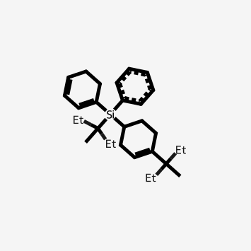 CCC(C)(CC)C1=CCC([Si](C2=CC=CCC2)(c2ccccc2)C(C)(CC)CC)CC1